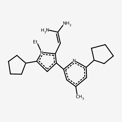 CCn1c(C2CCCC2)cc(-c2cc(C)cc(C3CCCC3)n2)c1C=C(N)N